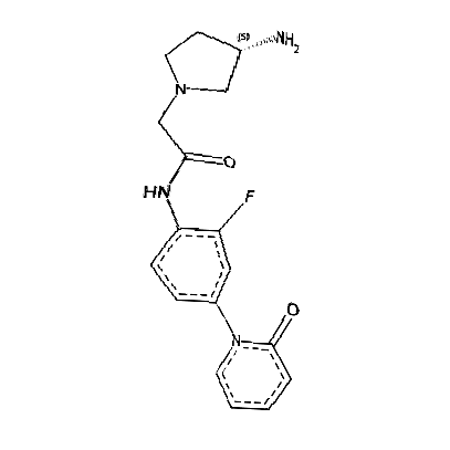 N[C@H]1CCN(CC(=O)Nc2ccc(-n3ccccc3=O)cc2F)C1